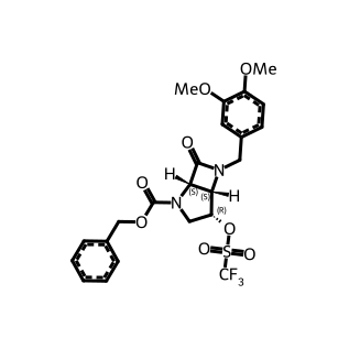 COc1ccc(CN2C(=O)[C@@H]3[C@H]2[C@H](OS(=O)(=O)C(F)(F)F)CN3C(=O)OCc2ccccc2)cc1OC